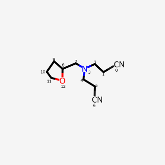 N#CCCN(CCC#N)CC1CCCO1